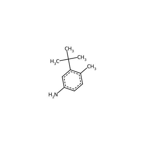 Cc1ccc(N)cc1C(C)(C)C